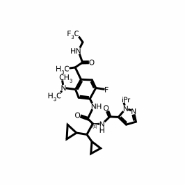 CC(C(=O)NCC(F)(F)F)c1cc(F)c(NC(=O)[C@@H](NC(=O)c2ccnn2C(C)C)C(C2CC2)C2CC2)cc1N(C)C